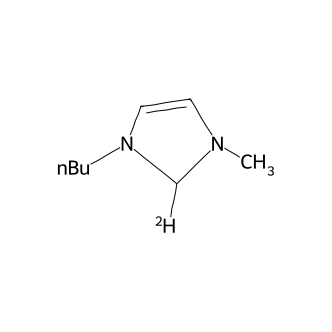 [2H]C1N(C)C=CN1CCCC